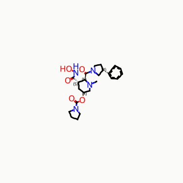 CN1C[C@H](OC(=O)N2CCCC2)C[C@H](C(=O)NO)[C@H]1C(=O)N1CC[C@H](c2ccccc2)C1